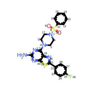 Nc1nc(N2CCN(S(=O)(=O)c3ccccc3)CC2)c2nc(-c3ccc(F)cc3)sc2n1